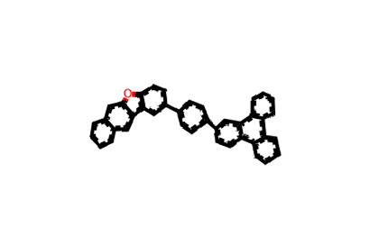 c1ccc2cc3c(cc2c1)oc1ccc(-c2ccc(-c4ccc5c6ccccc6c6ccccc6c5c4)cc2)cc13